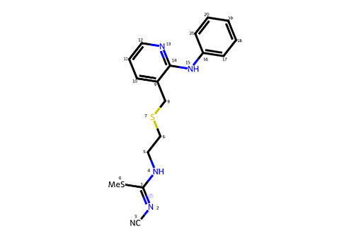 CS/C(=N\C#N)NCCSCc1cccnc1Nc1ccccc1